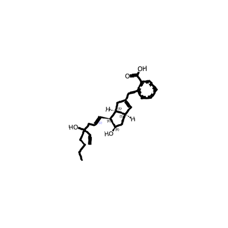 C=CC(O)(C/C=C/[C@H]1[C@H]2CC(Cc3ccccc3C(=O)O)=C[C@H]2C[C@H]1O)CCCC